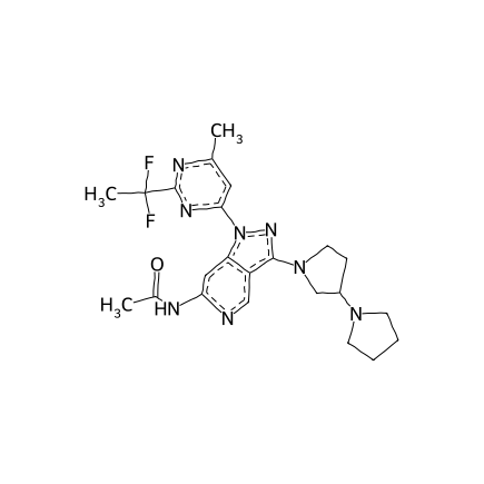 CC(=O)Nc1cc2c(cn1)c(N1CCC(N3CCCC3)C1)nn2-c1cc(C)nc(C(C)(F)F)n1